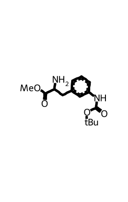 COC(=O)C(N)Cc1cccc(NC(=O)OC(C)(C)C)c1